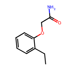 CCc1ccccc1OCC(N)=O